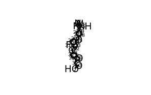 O=C(O)CC1COc2cc(O[C@@H]3CCc4c(Oc5ccc(-c6nnn[nH]6)cc5)ccc(F)c43)ccc21